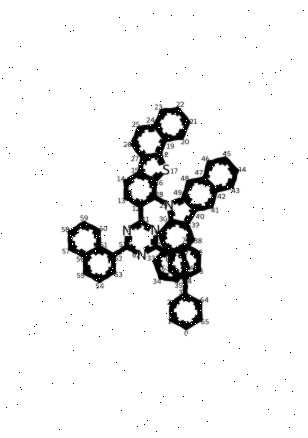 c1ccc(-c2cccc(-c3nc(-c4ccc5c(sc6c7ccccc7ccc56)c4-n4c5cc6ccccc6cc5c5cc6ccccc6cc54)nc(-c4cccc5ccccc45)n3)c2)cc1